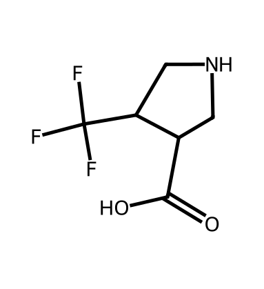 O=C(O)C1CNCC1C(F)(F)F